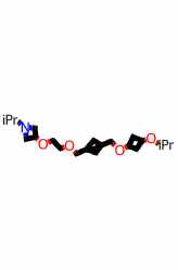 CC(C)OC1CC(OCC23CC(COCCOC4CN(C(C)C)C4)(C2)C3)C1